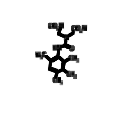 Cc1cc(C)c(NC(=O)N(CC(=O)O)CC(=O)O)c(C)c1C